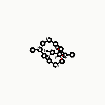 N#Cc1cc(-n2c3cc(-c4ccnc(-c5ccccc5)c4)ccc3c3ccc(-c4ccnc(-c5ccccc5)c4)cc32)c(-c2c(F)c(F)c(F)c(F)c2F)cc1-n1c2cc(-c3ccnc(-c4ccccc4)c3)ccc2c2ccc(-c3ccnc(-c4ccccc4)c3)cc21